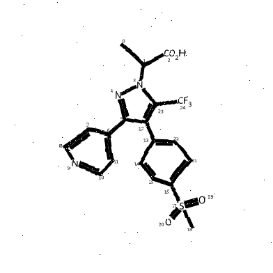 CC(C(=O)O)n1nc(-c2ccncc2)c(-c2ccc(S(C)(=O)=O)cc2)c1C(F)(F)F